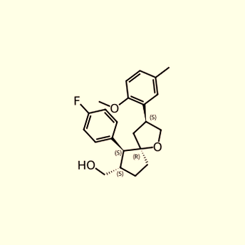 COc1ccc(C)cc1[C@H]1CO[C@]2(CC[C@H](CO)[C@H]2c2ccc(F)cc2)C1